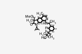 COCC1(C)C(=O)N(C2CC2)c2cc3c(N[C@H](C)c4cccc(C(F)(F)C(C)(C)O)c4F)nnc(C)c3cc21